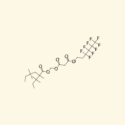 CCC(C)(C)CC(C)(C(=O)OCOC(=O)CC(=O)OCCC(F)(F)C(F)(F)C(F)(F)C(F)(F)F)C(C)(C)CC